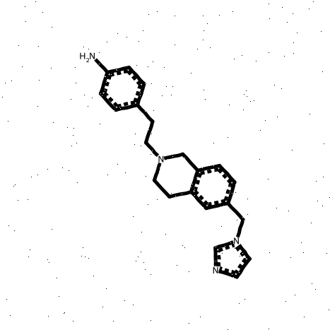 Nc1ccc(CCN2CCc3cc(Cn4ccnc4)ccc3C2)cc1